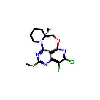 CSc1nc2c3c(nc(Cl)c(F)c3n1)OC[C@@H]1CCCCN21